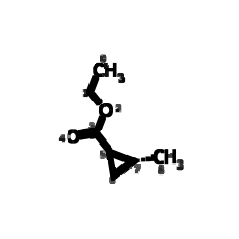 CCOC(=O)C1C[C@H]1C